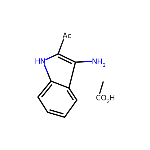 CC(=O)O.CC(=O)c1[nH]c2ccccc2c1N